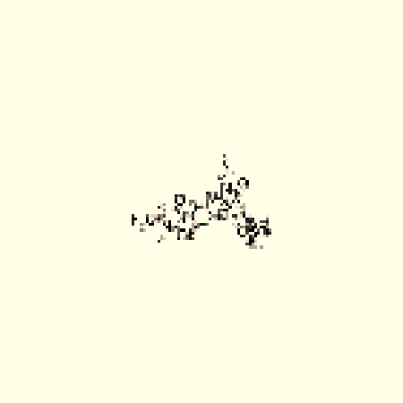 C=CCN1C(=O)C(CC(=O)NS(=O)(=O)CC)SC1=Nc1cc(-n2c(=O)cc(C(F)(F)F)n(C)c2=O)c(F)cc1Cl